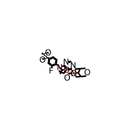 CC(C)OC(=O)N1CC2COCC(C1)C2Oc1ncnc2c1CCN2c1ccc(S(C)(=O)=O)cc1F